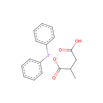 CC(CC(=O)O)C(=O)[O-].c1ccc([I+]c2ccccc2)cc1